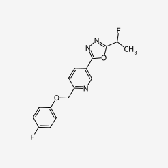 CC(F)c1nnc(-c2ccc(COc3ccc(F)cc3)nc2)o1